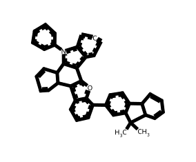 CC1(C)c2cc(-c3cccc4c5c(oc34)-c3c(n(-c4ccccc4)c4ccccc34)C3C=CC=CC53)ccc2C2C=CC=CC21